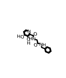 O=C(CNC(=O)c1nccc(O)c1O)NCc1ccccc1